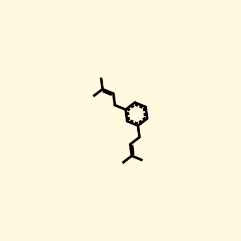 CC(C)=CCc1cccc(CC=C(C)C)c1